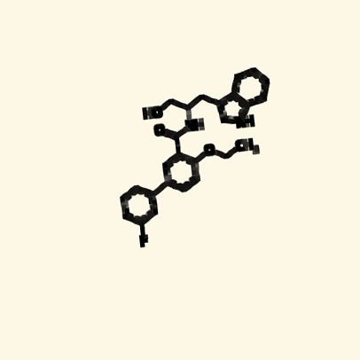 CCOc1ccc(-c2cccc(F)c2)cc1C(=O)NC(CO)Cc1c[nH]c2ccccc12